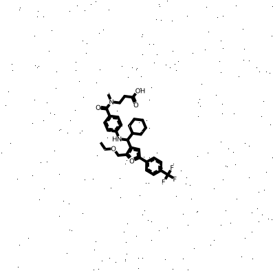 CCOCc1oc(-c2ccc(C(F)(F)F)cc2)cc1C(Nc1ccc(C(=O)N(C)CCC(=O)O)cc1)C1CCCCC1